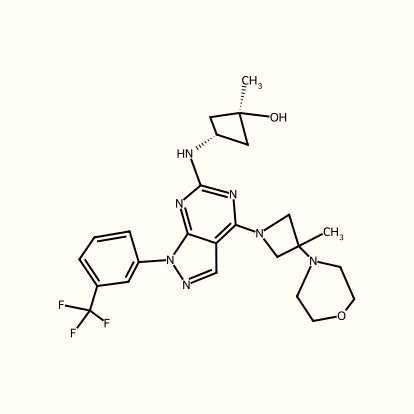 CC1(N2CCOCC2)CN(c2nc(N[C@H]3C[C@](C)(O)C3)nc3c2cnn3-c2cccc(C(F)(F)F)c2)C1